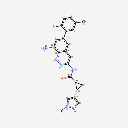 Cc1ccc(C#N)cc1-c1cc(N)c2nnc(NC(=O)[C@H]3C[C@@H]3c3cnn(C)c3)cc2c1